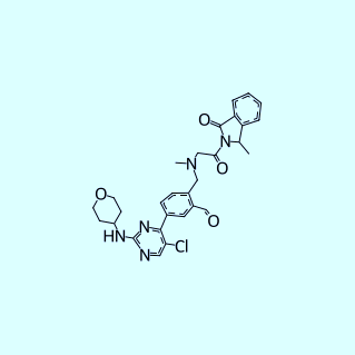 CC1c2ccccc2C(=O)N1C(=O)CN(C)Cc1ccc(-c2nc(NC3CCOCC3)ncc2Cl)cc1C=O